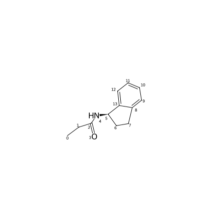 CCC(=O)N[C@@H]1CCc2ccccc21